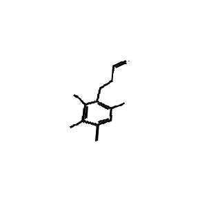 [CH]=CCCc1c(C)cc(C)c(C)c1C